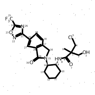 CC(CO)(CCl)C(=O)N[C@@H]1CCCC[C@H]1N1Cc2ccc(-c3noc(C(F)(F)F)n3)cc2C1=O